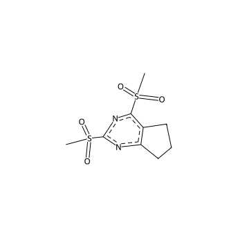 CS(=O)(=O)c1nc2c(c(S(C)(=O)=O)n1)CCC2